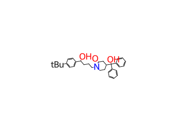 CC(C)(C)c1ccc(C(O)CCCN2CCC(C(O)(c3ccccc3)c3ccccc3)CC2=O)cc1